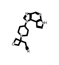 N#CCC1(N2CCC(n3cnc4cnc5[nH]ccc5c43)CC2)COC1